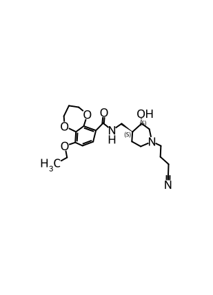 CCOc1ccc(C(=O)NC[C@@H]2CCN(CCCC#N)C[C@H]2O)c2c1OCCCO2